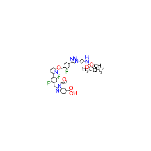 CC(C)(C)OC(=O)N[C@H]1C[C@@H](n2cc(-c3ccc(COc4cccc(-c5cc(F)c(Cc6nc7ccc(C(=O)O)cc7n6C[C@@H]6CCO6)cc5F)n4)c(F)c3)nn2)C1